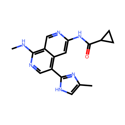 CNc1ncc(-c2nc(C)c[nH]2)c2cc(NC(=O)C3CC3)ncc12